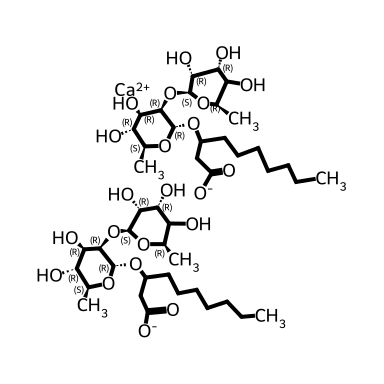 CCCCCCCC(CC(=O)[O-])O[C@@H]1O[C@@H](C)[C@H](O)[C@@H](O)[C@H]1O[C@@H]1O[C@H](C)C(O)[C@@H](O)[C@H]1O.CCCCCCCC(CC(=O)[O-])O[C@@H]1O[C@@H](C)[C@H](O)[C@@H](O)[C@H]1O[C@@H]1O[C@H](C)C(O)[C@@H](O)[C@H]1O.[Ca+2]